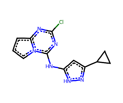 Clc1nc(Nc2cc(C3CC3)n[nH]2)n2cccc2n1